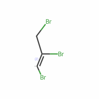 Br/[C]=C(\Br)CBr